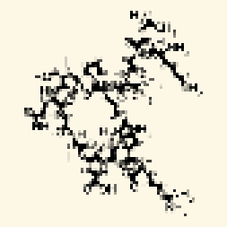 CC(C)C[C@H](NC(=O)[C@@H](N)CCCCN)C(=O)NCC(=O)N[C@H](C(=O)N[C@@H](CCCN=C(N)N)C(=O)N1CCC[C@H]1C(=O)N[C@@H](CO)C(=O)N[C@@H](CCC(N)=O)C(=O)NCC(=O)NCC(=O)N[C@@H](CCC(=O)O)C(=O)N[C@@H](C)C(=O)N1CCC[C@H]1C(=O)N[C@@H](CCCN=C(N)N)C(=O)O)C(C)C